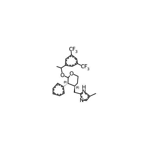 Cc1cnc(C[C@@H]2CCOC(OC(C)c3cc(C(F)(F)F)cc(C(F)(F)F)c3)[C@H]2c2ccccc2)[nH]1